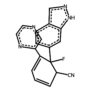 N#CC1C=CC=C(c2cnccn2)C1(F)c1ccc2cn[nH]c2c1